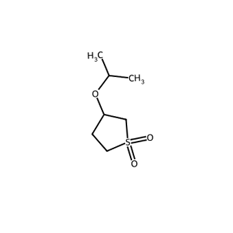 CC(C)OC1CCS(=O)(=O)C1